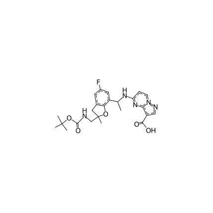 CC(Nc1ccn2ncc(C(=O)O)c2n1)c1cc(F)cc2c1OC(C)(CNC(=O)OC(C)(C)C)C2